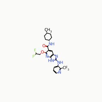 C[C@H]1CC[C@H](NC(=O)c2cc3nc(Nc4cccnc4C(F)(F)F)[nH]c3nc2OCC(F)F)CC1